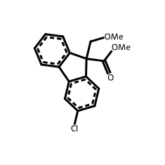 COCC1(C(=O)OC)c2ccccc2-c2cc(Cl)ccc21